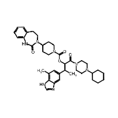 Cc1cc(C(C)C(OC(=O)N2CCC(N3CCc4ccccc4NC3=O)CC2)C(=O)N2CCN(C3CCCCC3)CC2)cc2nc[nH]c12